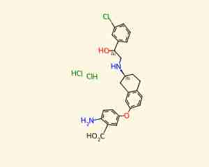 Cl.Cl.Nc1ccc(Oc2ccc3c(c2)C[C@@H](NC[C@@H](O)c2cccc(Cl)c2)CC3)cc1C(=O)O